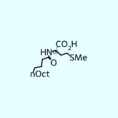 CCCCCCCCCCCC(=O)N[C@@H](CCSC)C(=O)O